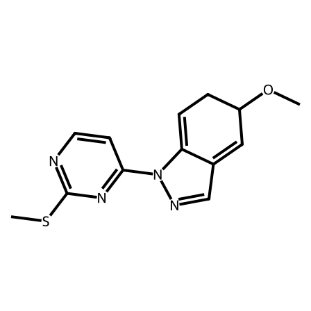 COC1C=c2cnn(-c3ccnc(SC)n3)c2=CC1